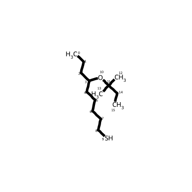 CCCC(CCCCCS)OC(C)(C)CC